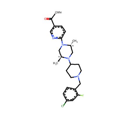 COC(=O)c1ccc(N2C[C@H](C)N(C3CCN(Cc4ccc(Cl)cc4F)CC3)C[C@H]2C)nc1